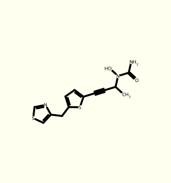 CC(C#Cc1ccc(Cc2cscn2)s1)N(O)C(N)=O